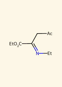 CC/N=C(\CC(C)=O)C(=O)OCC